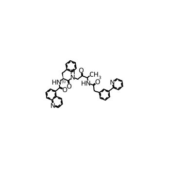 CC(NC(=O)Cc1cccc(-c2ccccn2)c1)C(=O)CNC(=O)[C@H](Cc1ccccc1)NC(=O)c1cccc2ncccc12